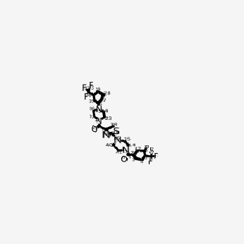 O=C(c1ccc(C(F)(F)F)c(F)c1)N1CCN(c2nc(C(=O)N3CCN(c4cccc(C(F)(F)F)c4)CC3)cs2)CC1